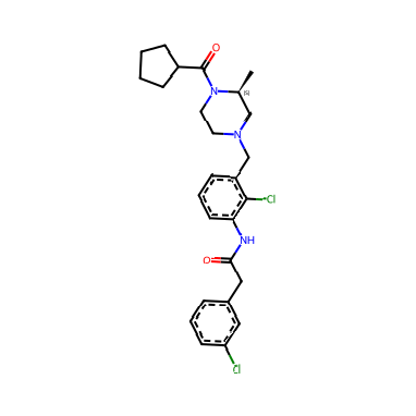 C[C@H]1CN(Cc2cccc(NC(=O)Cc3cccc(Cl)c3)c2Cl)CCN1C(=O)C1CCCC1